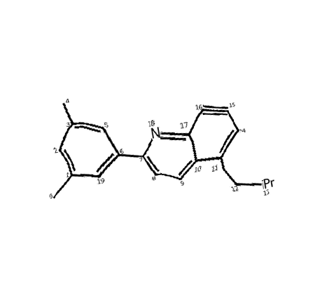 Cc1cc(C)cc(-c2ccc3c(CC(C)C)cc#cc3n2)c1